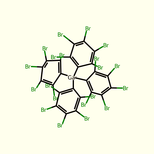 Brc1c(Br)c(Br)[c]([Ga-]([c]2c(Br)c(Br)c(Br)c(Br)c2Br)([c]2c(Br)c(Br)c(Br)c(Br)c2Br)[c]2c(Br)c(Br)c(Br)c(Br)c2Br)c(Br)c1Br